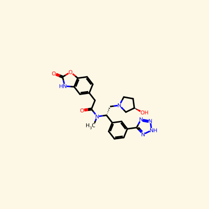 CN(C(=O)Cc1ccc2oc(=O)[nH]c2c1)[C@H](CN1CC[C@@H](O)C1)c1cccc(-c2nn[nH]n2)c1